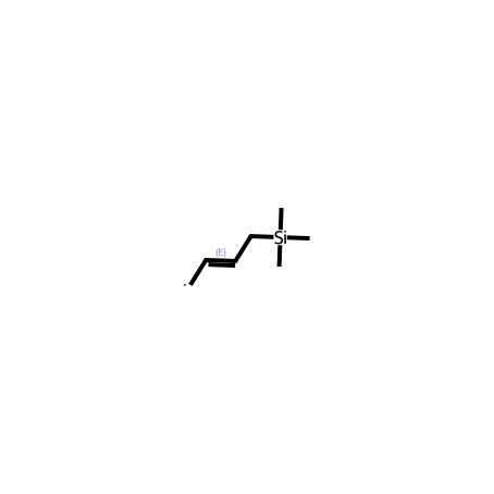 [CH2]/C=C/C[Si](C)(C)C